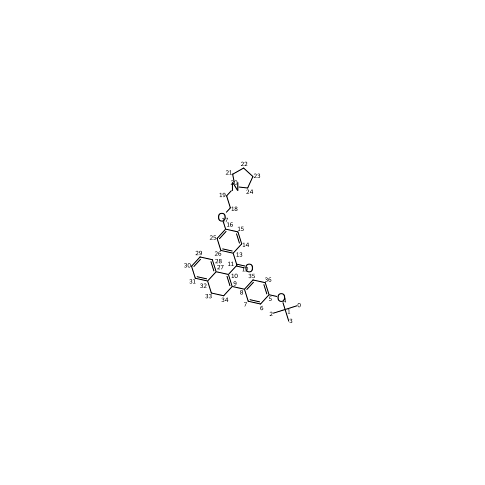 CC(C)(C)Oc1ccc(C2=C(C(=O)c3ccc(OCCN4CCCC4)cc3)c3ccccc3CC2)cc1